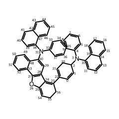 C1=CC(N(c2ccccc2)c2cccc3ccccc23)CC=C1C1=c2c(oc3c2cc(N(c2ccccc2)c2cccc4ccccc24)c2ccccc23)=CCC1